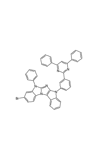 Brc1ccc2c(c1)n(-c1ccccc1)c1nc3c(c4ccccc4n3-c3cccc(-c4nc(-c5ccccc5)cc(-c5ccccc5)n4)c3)n21